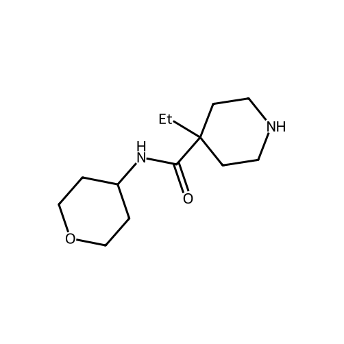 CCC1(C(=O)NC2CCOCC2)CCNCC1